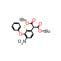 CC(C)(C)OC(=O)C(C(=O)OC(C)(C)C)c1ccc([N+](=O)[O-])c(Oc2ccccc2)c1F